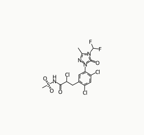 Cc1nn(-c2cc(CC(Cl)C(=O)NS(C)(=O)=O)c(Cl)cc2Cl)c(=O)n1C(F)F